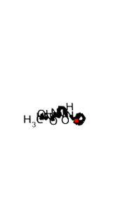 CC(O)CNC(=O)c1cn2c(C(=O)NCC34CC5CC(CC(C5)C3)C4)cccc2n1